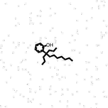 CCCCCCCC(CCC)(CCC)c1ccccc1O